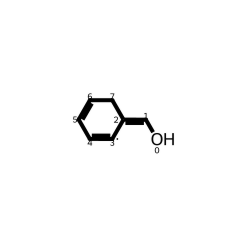 OC=C1[C]=CC=CC1